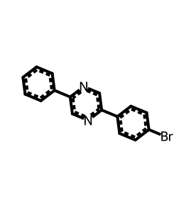 Brc1ccc(-c2cnc(-c3ccccc3)cn2)cc1